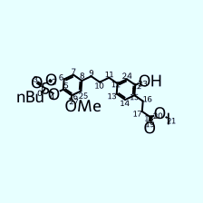 CCCCS(=O)(=O)Oc1ccc(CCCc2ccc(CCC(=O)OI)c(O)c2)cc1OC